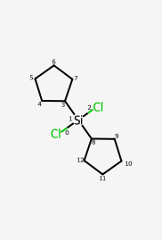 Cl[Si](Cl)(C1CCCC1)C1CCCC1